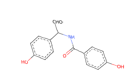 O=[C]C(NC(=O)c1ccc(O)cc1)c1ccc(O)cc1